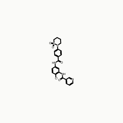 O=C(Nc1ccc(Cl)c(NC(=O)c2cccnc2)c1)c1ccc(N2CCCCS2(=O)=O)cc1